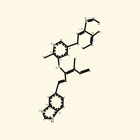 C=C/C(C)=C(\C=C\c1ccc2[nH]cnc2c1)Sc1cc(C/C=C(/N=C\C)C(\C)=C/C)cnc1C